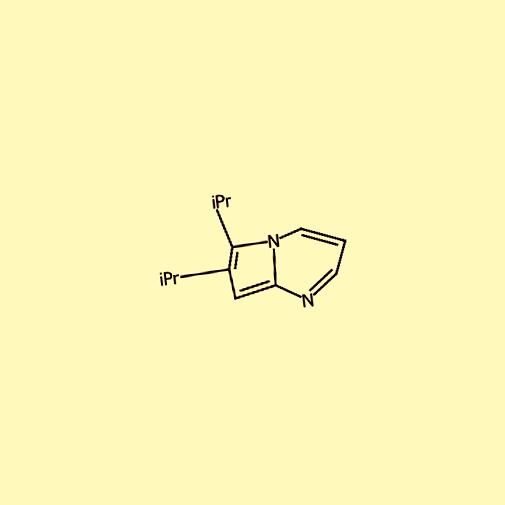 CC(C)c1cc2ncccn2c1C(C)C